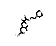 CC(C)C(CC(N)=O)CC(F)(F)C(=O)NCCN1CCOCC1